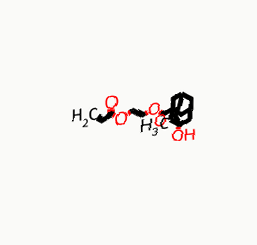 C=CC(=O)OCCOC(=O)C12CC3CC(CC(O)(C3)C1C)C2